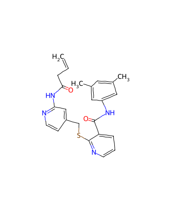 C=CCC(=O)Nc1cc(CSc2ncccc2C(=O)Nc2cc(C)cc(C)c2)ccn1